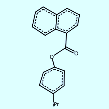 CC(C)c1ccc(OC(=O)c2cccc3ccccc23)cc1